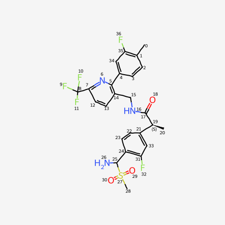 Cc1ccc(-c2nc(C(F)(F)F)ccc2CNC(=O)[C@@H](C)c2ccc(C(N)S(C)(=O)=O)c(F)c2)cc1F